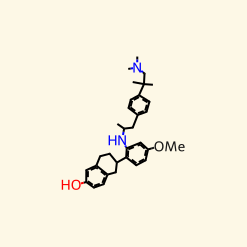 COc1ccc(C2CCc3cc(O)ccc3C2)c(NC(C)Cc2ccc(C(C)(C)CN(C)C)cc2)c1